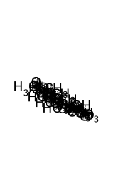 CC1OC(O[C@H]2CCC3(C)C4CCC5(C)[C@@H](C6=CC(=O)OC6)CC[C@]5(O)C4CC[C@H]3C2)[C@@H](O)[C@@H](OC2OC(C)C(O)[C@H](OC3OC(C)C(O)[C@H](O[C@@H]4C=CC(=O)[C@H](C)O4)[C@@H]3O)[C@@H]2O)C1O